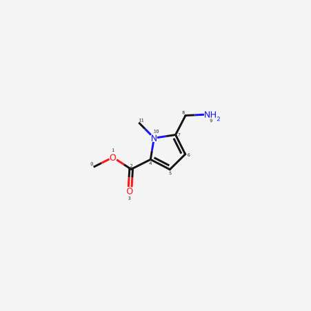 COC(=O)c1ccc(CN)n1C